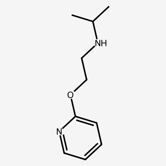 CC(C)NCCOc1ccccn1